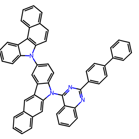 c1ccc(-c2ccc(-c3nc(-n4c5ccc(-n6c7ccccc7c7c8ccccc8ccc76)cc5c5cc6ccccc6cc54)c4ccccc4n3)cc2)cc1